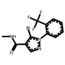 CNC(=O)c1cnn(-c2ccccc2C(F)(F)F)c1Br